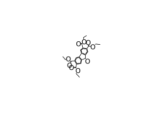 CCOC(=O)c1cc2c(cc1C(=O)OCC)-c1cc(C(=O)OCC)c(C(=O)OCC)cc1C2=O